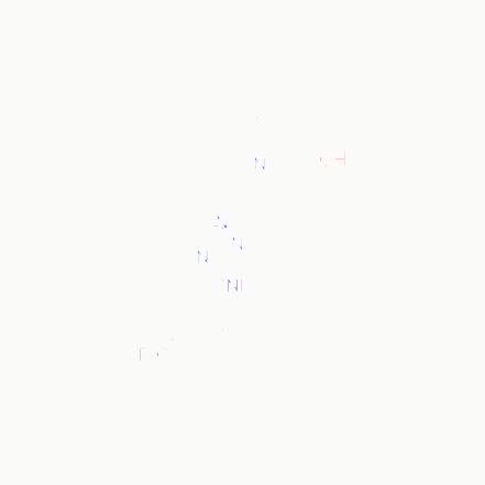 OC[C@H]1CCCN1Cc1cccc2nc(Nc3ccc(C(F)(F)F)cc3)nn12